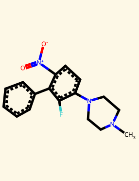 CN1CCN(c2ccc([N+](=O)[O-])c(-c3ccccc3)c2F)CC1